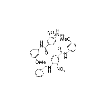 CCNc1ccc(C(=O)Nc2cccc(OC)c2)cc1[N+](=O)[O-].COc1cccc(NC(=O)c2ccc(NCc3ccccc3)c([N+](=O)[O-])c2)c1